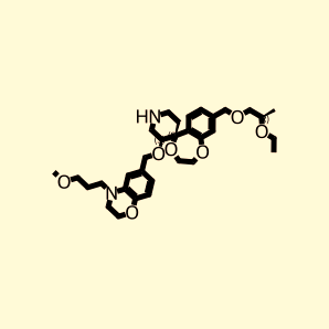 CCO[C@H](C)COCc1ccc2c(c1)OCCO[C@@]21CCNC[C@@H]1OCc1ccc2c(c1)N(CCCOC)CCO2